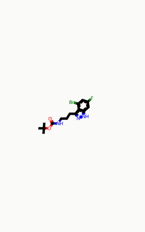 CC(C)(C)OC(=O)NCCCc1n[nH]c2cc(F)cc(Br)c12